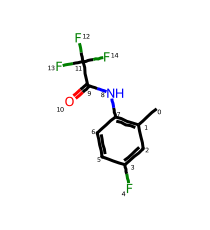 Cc1cc(F)ccc1NC(=O)C(F)(F)F